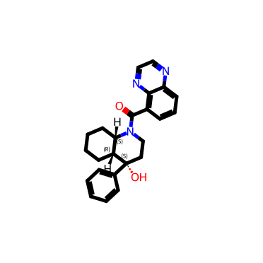 O=C(c1cccc2nccnc12)N1CC[C@@](O)(c2ccccc2)[C@@H]2CCCC[C@@H]21